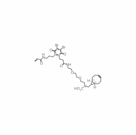 C=CC(=O)NCCCn1c(=O)c(Br)c(Br)c(=O)n1CCC(=O)NCCOCCOCCN(CC1[C@H]2CCC#CCC[C@H]12)C(=O)O